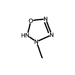 CN1N=NON1